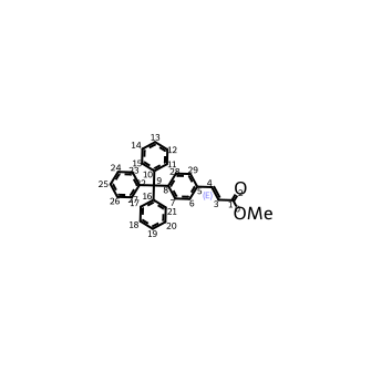 COC(=O)/C=C/c1ccc(C(c2ccccc2)(c2ccccc2)c2ccccc2)cc1